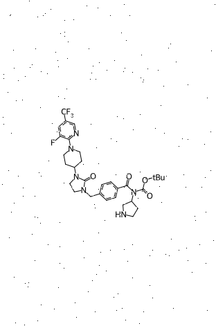 CC(C)(C)OC(=O)N(C(=O)c1ccc(CN2CCN(C3CCN(c4ncc(C(F)(F)F)cc4F)CC3)C2=O)cc1)C1CCNC1